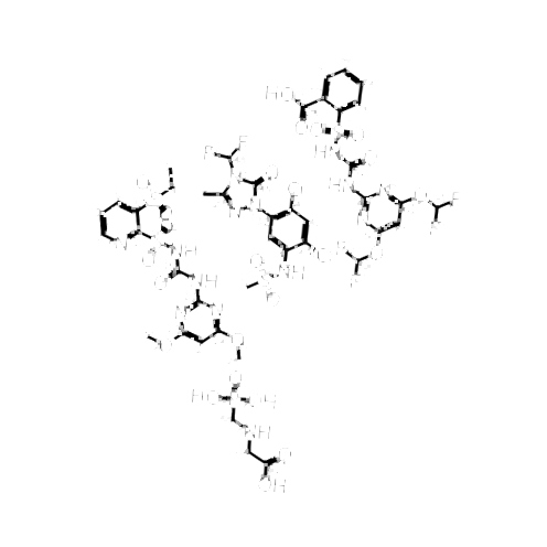 CCS(=O)(=O)c1cccnc1S(=O)(=O)NC(=O)Nc1nc(OC)cc(OC)n1.Cc1nn(-c2cc(NS(C)(=O)=O)c(Cl)cc2Cl)c(=O)n1C(F)F.O=C(Nc1nc(OC(F)F)cc(OC(F)F)n1)NS(=O)(=O)c1ccccc1C(=O)O.O=C(O)CNCP(=O)(O)O